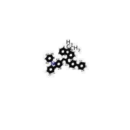 CC1(C)c2ccccc2-c2c(/C(=C\c3ccc(-c4ccccc4)cc3)Cc3ccc4c5ccccc5n(-c5ccccc5)c4c3)cccc21